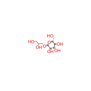 OCC(O)CO[C@@H]1O[C@H](CO)[C@H](O)[C@H](O)[C@@H]1O